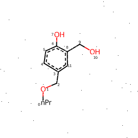 CCCOCc1ccc(O)c(CO)c1